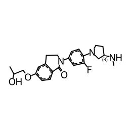 CN[C@@H]1CCN(c2ccc(N3CCc4cc(OCC(C)O)ccc4C3=O)cc2F)C1